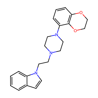 c1cc2c(c(N3CCN(CCn4ccc5ccccc54)CC3)c1)OCCO2